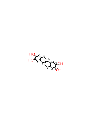 Oc1cc2c(cc1O)CC1(CC2)CCc2cc(O)c(O)cc2C1